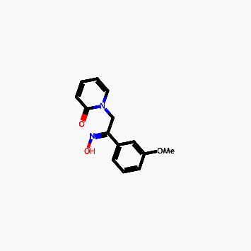 COc1cccc(C(Cn2ccccc2=O)=NO)c1